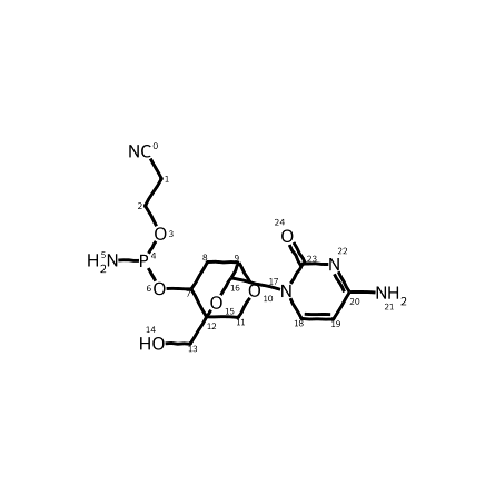 N#CCCOP(N)OC1CC2OCC1(CO)OC2n1ccc(N)nc1=O